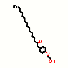 CC(C)CCCCCCCCCCCCCCC(=O)Cc1ccc(OCCO)cc1